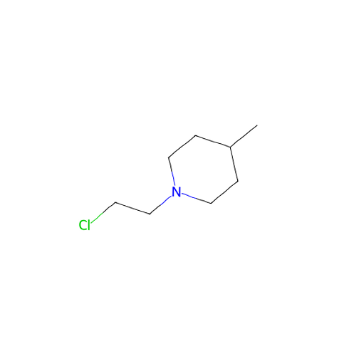 CC1CCN(CCCl)CC1